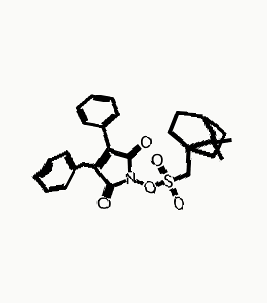 CC1(C)C2CCC1(CS(=O)(=O)ON1C(=O)C(c3ccccc3)=C(c3ccccc3)C1=O)CC2